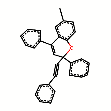 Cc1ccc2c(c1)C(c1ccccc1)=CC(C#Cc1ccccc1)(c1ccccc1)O2